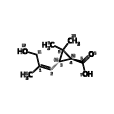 CC(=C[C@H]1[C@H](C(=O)O)C1(C)C)CO